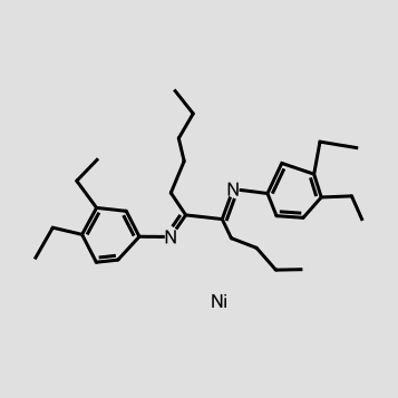 CCCCCC(=Nc1ccc(CC)c(CC)c1)C(CCCC)=Nc1ccc(CC)c(CC)c1.[Ni]